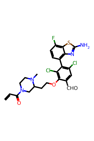 C=CC(=O)N1CCN(C)C(CCOc2c(C=O)cc(Cl)c(-c3ccc(F)c4sc(N)nc34)c2Cl)C1